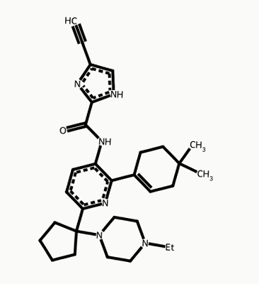 C#Cc1c[nH]c(C(=O)Nc2ccc(C3(N4CCN(CC)CC4)CCCC3)nc2C2=CCC(C)(C)CC2)n1